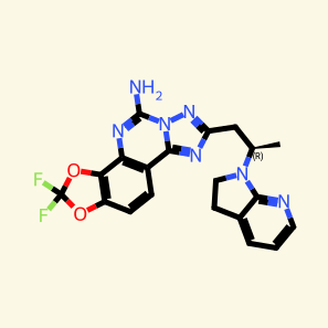 C[C@H](Cc1nc2c3ccc4c(c3nc(N)n2n1)OC(F)(F)O4)N1CCc2cccnc21